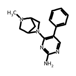 CN1CC2CC1CN2c1nc(N)ncc1-c1ccccc1